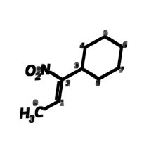 CC=C(C1CCCCC1)[N+](=O)[O-]